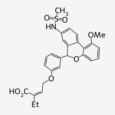 CCC(=CCOc1cccc(C2Oc3cccc(OC)c3-c3ccc(NS(C)(=O)=O)cc32)c1)C(=O)O